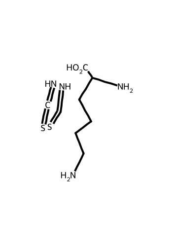 N=C=S.N=C=S.NCCCCC(N)C(=O)O